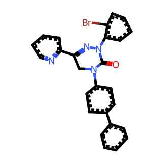 O=C1N(c2ccc(-c3ccccc3)cc2)CC(c2ccccn2)=NN1c1ccccc1Br